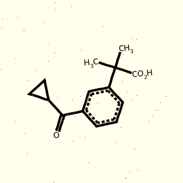 CC(C)(C(=O)O)c1cccc(C(=O)C2CC2)c1